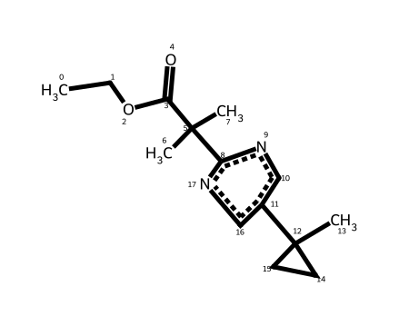 CCOC(=O)C(C)(C)c1ncc(C2(C)CC2)cn1